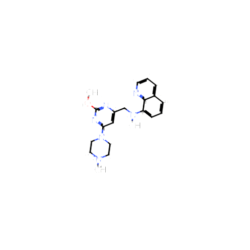 COc1nc(CN(C)c2cccc3cccnc23)cc(N2CCN(C)CC2)n1